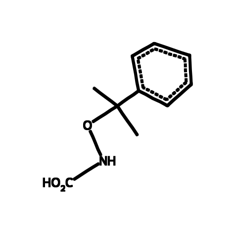 CC(C)(ONC(=O)O)c1ccccc1